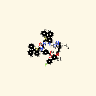 CCc1cc(-c2ccc(F)cc2)c(OC(=O)c2ccc(CN(CCSC(c3ccccc3)(c3ccccc3)c3ccccc3)CC(=O)NCCSC(c3ccccc3)(c3ccccc3)c3ccccc3)cc2)cc1OCCCCC(C)(C)CN